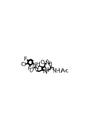 CC(=O)NC[C@H]1Cn2nc3c(c2C(=O)N(C)O1)CN(C(=O)Nc1ccc(F)c(Cl)c1F)CC3